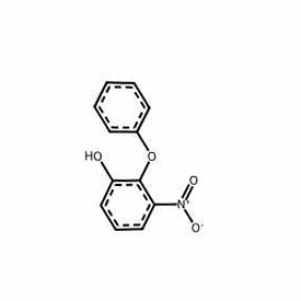 O=[N+]([O-])c1cccc(O)c1Oc1ccccc1